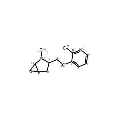 CN1C(COc2cccnc2Cl)CC2CC21